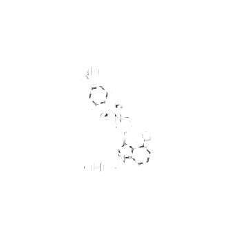 CC(C)Oc1ccc(S(=O)(=O)N2CCC(c3cn(CC=O)c4cccc(Cl)c34)C2)cc1